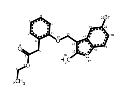 CCOC(=O)Cc1ccccc1OCc1c(C)oc2ccc(Br)cc12